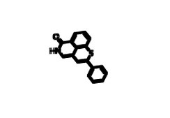 O=c1[nH]cc2c3c(cccc13)SC(c1ccccc1)=C2